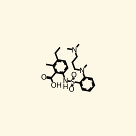 CCc1ccc(NS(=O)(=O)c2ccccc2N(C)CCCN(C)C)c(C(=O)O)c1C